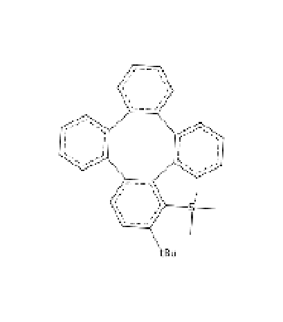 CC(C)(C)c1ccc2c(c1[Si](C)(C)C)-c1ccccc1-c1ccccc1-c1ccccc1-2